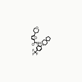 O=C(Nc1cc(C(F)(F)F)ccc1N1CCC2(CCCC2)CC1)c1ccc(C2CCOCC2)o1